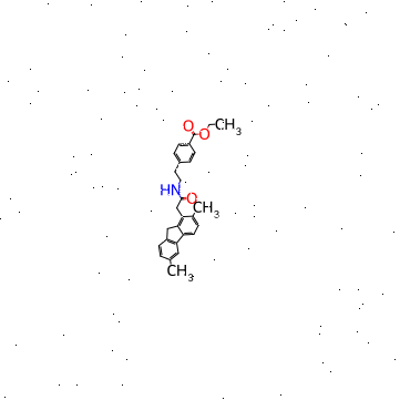 CCOC(=O)c1ccc(CCNC(=O)Cc2c(C)ccc3c2Cc2ccc(C)cc2-3)cc1